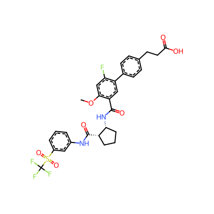 COc1cc(F)c(-c2ccc(CCC(=O)O)cc2)cc1C(=O)N[C@@H]1CCC[C@@H]1C(=O)Nc1cccc(S(=O)(=O)C(F)(F)F)c1